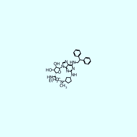 CCNC(=O)[C@H]1O[C@H](n2cnc3c(NCC(c4ccccc4)c4ccccc4)nc(N[C@@H]4CC[C@@H](N(C)C)C4)nc32)[C@H](O)[C@@H]1O